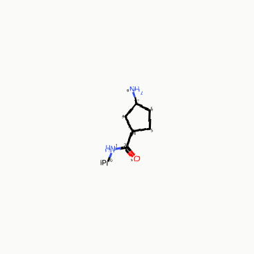 CC(C)NC(=O)C1CCC(N)C1